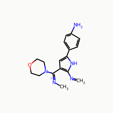 C=Nc1[nH]c(-c2ccc(N)cc2)cc1/C(=N\C)N1CCOCC1